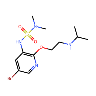 CC(C)NCCOc1ncc(Br)cc1NS(=O)(=O)N(C)C